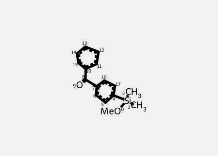 CO[Si](C)(C)c1ccc(C(=O)c2ccccc2)cc1